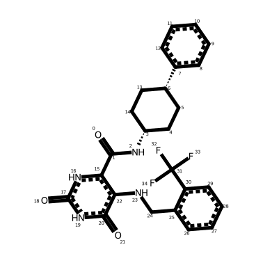 O=C(N[C@H]1CC[C@@H](c2ccccc2)CC1)c1[nH]c(=O)[nH]c(=O)c1NCc1ccccc1C(F)(F)F